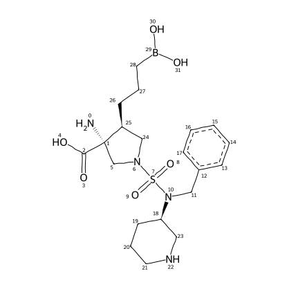 N[C@@]1(C(=O)O)CN(S(=O)(=O)N(Cc2ccccc2)[C@@H]2CCCNC2)C[C@@H]1CCCB(O)O